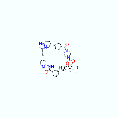 CC(C)(C)OC(=O)N1CCN(C(=O)c2ccc(-c3ccc4ncc(C#Cc5ccnc(NC(=O)c6ccccc6)c5)n4c3)cc2)CC1